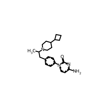 CC(Cc1ccc(-n2ccc(N)nc2=O)cc1)N1CCC(C2CCC2)CC1